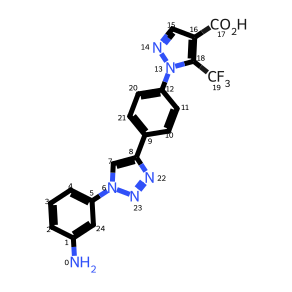 Nc1cccc(-n2cc(-c3ccc(-n4ncc(C(=O)O)c4C(F)(F)F)cc3)nn2)c1